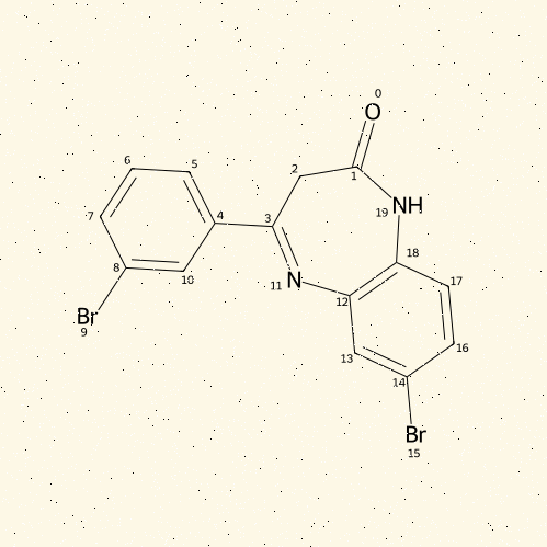 O=C1CC(c2cccc(Br)c2)=Nc2cc(Br)ccc2N1